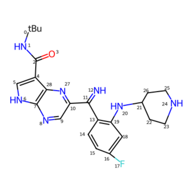 CC(C)(C)NC(=O)c1c[nH]c2ncc(C(=N)c3ccc(F)cc3NC3CCNCC3)nc12